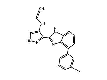 C=CNc1c[nH]nc1-c1nc2c(-c3cccc(F)c3)cccc2[nH]1